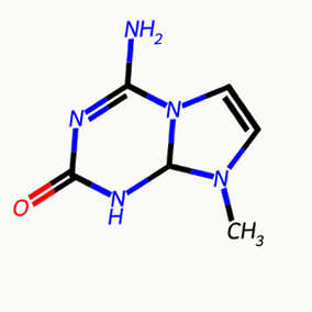 CN1C=CN2C(N)=NC(=O)NC12